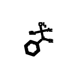 CCN(c1ccccc1)C(C)(C(C)=O)C(C)(C)C